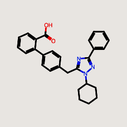 O=C(O)c1ccccc1-c1ccc(Cc2nc(-c3ccccc3)nn2C2CCCCC2)cc1